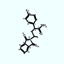 CC(CC(C(N)=O)c1ccc(F)cc1)N1C(=O)c2ccccc2C1=O